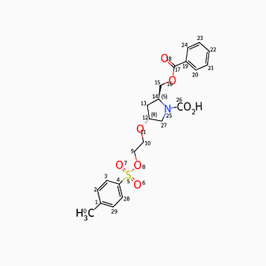 Cc1ccc(S(=O)(=O)OCCO[C@@H]2C[C@@H](COC(=O)c3ccccc3)N(C(=O)O)C2)cc1